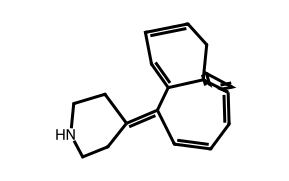 C1=CCC23C=CC=CC2=CC=CC(=C2CCNCC2)C3=C1